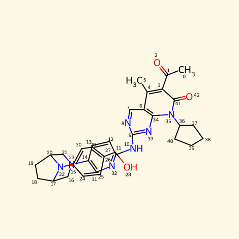 CC(=O)c1c(C)c2cnc(Nc3ccc(N4CC5CCC(C4)N5c4ccc(CO)cc4)cn3)nc2n(C2CCCC2)c1=O